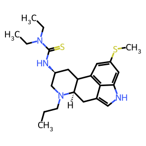 CCCN1C[C@@H](NC(=S)N(CC)CC)CC2c3cc(SC)cc4[nH]cc(c34)C[C@H]21